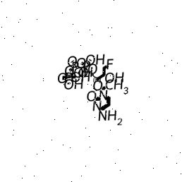 CC(O[C@H](COP(=O)(O)OP(=O)(O)OP(=O)(O)O)C(O)CF)n1ccc(N)nc1=O